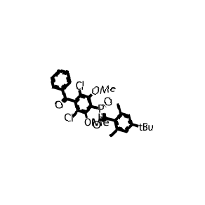 COc1c(Cl)c(C(=O)c2ccccc2)c(Cl)c(OC)c1[PH](=O)C(=O)c1c(C)cc(C(C)(C)C)cc1C